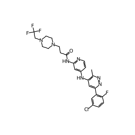 Cc1nnc(-c2cc(Cl)ccc2F)cc1Nc1ccnc(NC(=O)CCN2CCN(CC(F)(F)F)CC2)c1